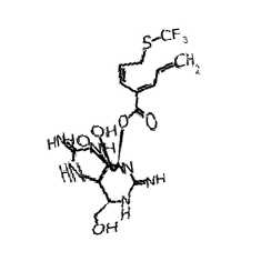 C=C/C=C(\C=C/CSC(F)(F)F)C(=O)O[C@H]1CN2C(=N)N[C@@H](CO)C3NC(=N)N[C@@]32C1(O)O